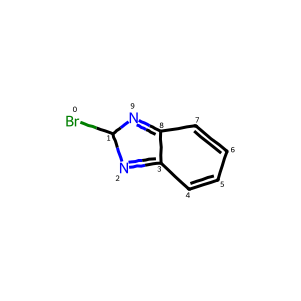 BrC1N=c2ccccc2=N1